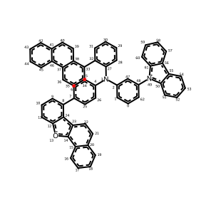 c1cc(N(c2ccc(-c3cccc4oc5c6ccccc6ccc5c34)cc2)c2ccccc2-c2cccc3c2ccc2ccccc23)cc(-n2c3ccccc3c3ccccc32)c1